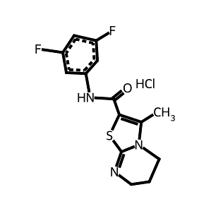 CC1=C(C(=O)Nc2cc(F)cc(F)c2)SC2=NCCCN21.Cl